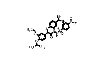 CCOc1cc(C(Nc2ccc(C(=N)N)cc2)C(=O)NNS(=O)(=O)c2ccc([N+](=O)[O-])cc2)ccc1OC(C)C